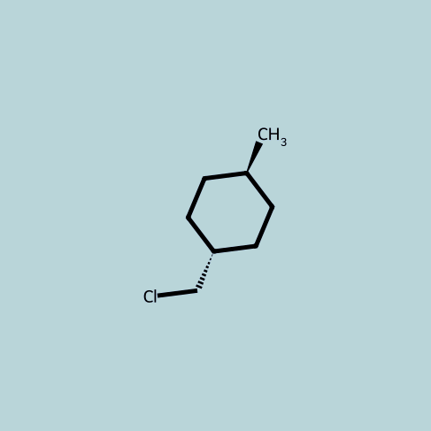 C[C@H]1CC[C@H](CCl)CC1